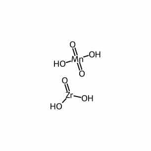 [O]=[Mn](=[O])([OH])[OH].[O]=[Zr]([OH])[OH]